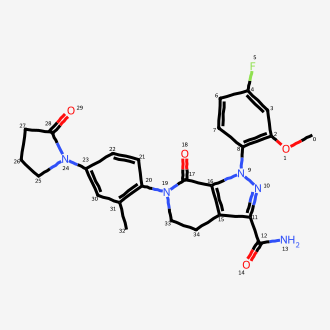 COc1cc(F)ccc1-n1nc(C(N)=O)c2c1C(=O)N(c1ccc(N3CCCC3=O)cc1C)CC2